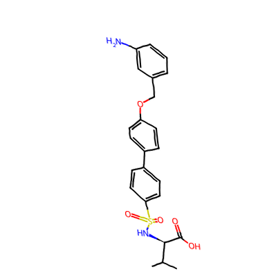 CC(C)[C@@H](NS(=O)(=O)c1ccc(-c2ccc(OCc3cccc(N)c3)cc2)cc1)C(=O)O